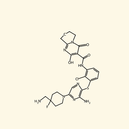 NCC1(F)CCN(c2cnc(Sc3cccc(NC(=O)c4c(O)nc5n(c4=O)CCCC5)c3Cl)c(N)n2)CC1